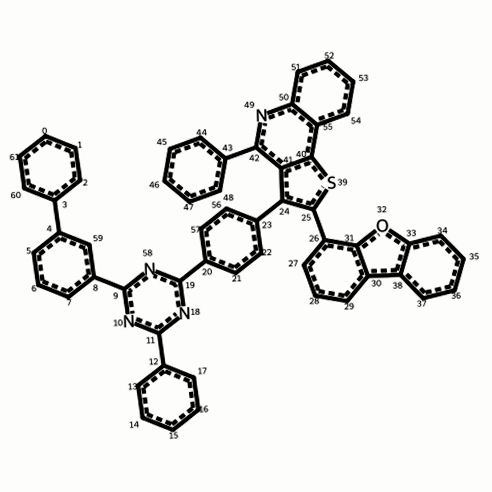 c1ccc(-c2cccc(-c3nc(-c4ccccc4)nc(-c4ccc(-c5c(-c6cccc7c6oc6ccccc67)sc6c5c(-c5ccccc5)nc5ccccc56)cc4)n3)c2)cc1